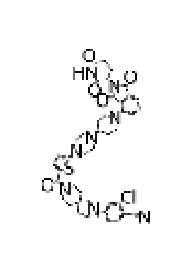 N#Cc1ccc(N2CCC3(CCN(C(=O)c4ccc(N5CCN(C6CCN(c7cccc8c7C(=O)N(C7CCC(=O)NC7=O)C8=O)CC6)CC5)s4)CC3)C2)cc1Cl